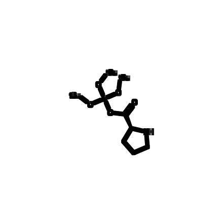 CC(C)(C)O[Si](OC(=O)[C@@H]1CCCN1)(OC(C)(C)C)OC(C)(C)C